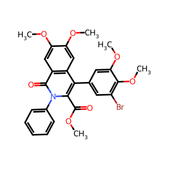 COC(=O)c1c(-c2cc(Br)c(OC)c(OC)c2)c2cc(OC)c(OC)cc2c(=O)n1-c1ccccc1